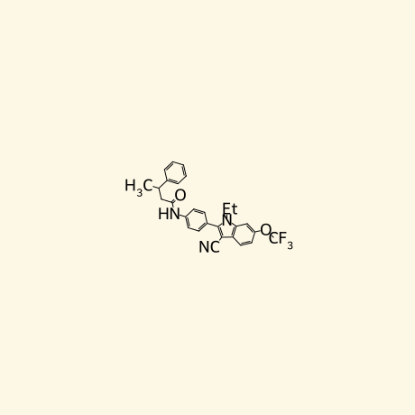 CCn1c(-c2ccc(NC(=O)CC(C)c3ccccc3)cc2)c(C#N)c2ccc(OC(F)(F)F)cc21